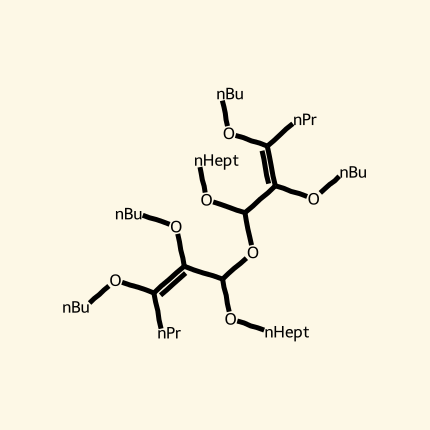 CCCCCCCOC(OC(OCCCCCCC)C(OCCCC)=C(CCC)OCCCC)C(OCCCC)=C(CCC)OCCCC